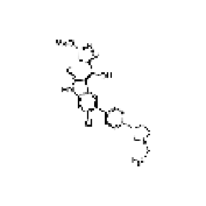 COc1cc(C(O)=C2C(=O)Nc3cc(Cl)c(-c4ccc(C5CCN(CC(F)(F)F)C5)cc4)cc32)on1